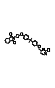 CC(C)(c1ccc(OCc2ccnc(Cl)n2)cc1)c1ccc(O[C@H]2C[C@@H](N3C(=O)c4ccccc4C3=O)C2)cc1